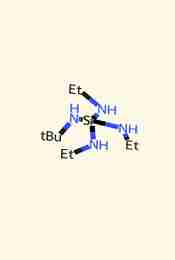 CCN[Si](NCC)(NCC)NC(C)(C)C